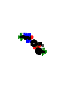 CC1(S(=O)(=O)c2cccc(C(F)(F)F)c2)CCC(NC(=O)c2cc(C(F)(F)F)n[nH]2)CC1